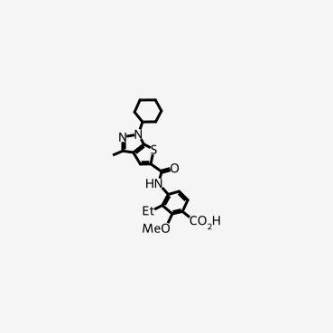 CCc1c(NC(=O)c2cc3c(C)nn(C4CCCCC4)c3s2)ccc(C(=O)O)c1OC